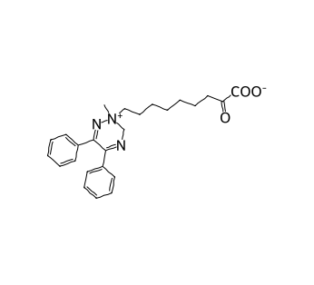 C[N+]1(CCCCCCCC(=O)C(=O)[O-])CN=C(c2ccccc2)C(c2ccccc2)=N1